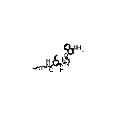 CCCOCCNC(=O)c1cc(CC)cc(Nc2nccc(Oc3ccc(N)c4ccccc34)n2)c1